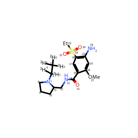 [2H]C([2H])([2H])C([2H])([2H])N1CCCC1CNC(=O)c1cc(S(=O)(=O)CC)c(N)cc1OC